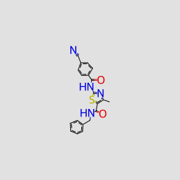 Cc1nc(NC(=O)c2ccc(C#N)cc2)sc1C(=O)NCc1ccccc1